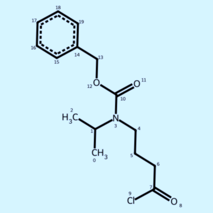 CC(C)N(CCCC(=O)Cl)C(=O)OCc1ccccc1